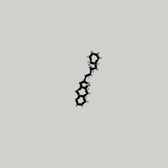 C(=C\c1cc2cc3ccccc3cc2s1)/c1cc2ccccc2s1